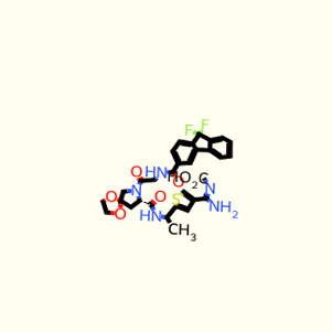 CC(NC(=O)[C@@H]1CC2(CN1C(=O)CNC(=O)c1ccc3c(c1)-c1ccccc1C3(F)F)OCCO2)c1cc(/C(N)=N\C(=O)O)cs1